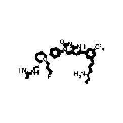 C=C[C@H](N)CCCc1cc(-c2cc3cn(-c4ccc([C@@H]5CCC[C@@H](CCNC(C)=N)N5CCCF)cc4)c(=O)nc3[nH]2)cc(C(F)(F)F)c1